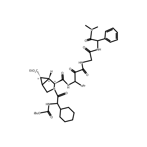 CCCC(NC(=O)[C@@H]1[C@@H]2C(CN1C(=O)C(NC(=O)OCC(C)C)C1CCCCC1)[C@@H]2C(=O)OCC)C(=O)C(=O)NCC(=O)NC(C(=O)N(C)C)c1ccccc1